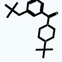 CC(C)(C)Cc1cccc(C(=O)N2CCN(C(C)(C)C)CC2)c1